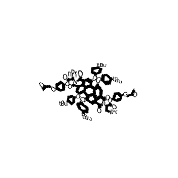 CCCC(C(=O)Oc1ccc(OCC2CO2)cc1)N1C(=O)c2cc(Oc3ccc(C(C)(C)C)cc3)c3c4c(Oc5ccc(C(C)(C)C)cc5)cc5c6c(cc(Oc7ccc(C(C)(C)C)cc7)c(c7c(Oc8ccc(C(C)(C)C)cc8)cc(c2c37)C1=O)c64)C(=O)N(C(CC(C)C)C(=O)Oc1ccc(OCC2CO2)cc1)C5=O